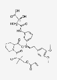 C=CC(=O)OCC(C)(C)C(=O)C(=O)N1CCCCC1C(=O)O[C@H](CCc1ccc(OC)c(OC)c1)c1cccc(NC(=O)[C@@H](O)[C@H](O)C(=O)O)c1